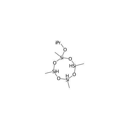 CC(C)O[Si]1(C)O[SiH](C)O[SiH](C)O[SiH](C)O1